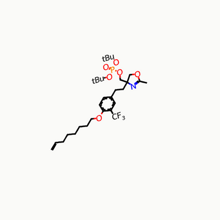 C=CCCCCCCOc1ccc(CCC2(COP(=O)(OC(C)(C)C)OC(C)(C)C)COC(C)=N2)cc1C(F)(F)F